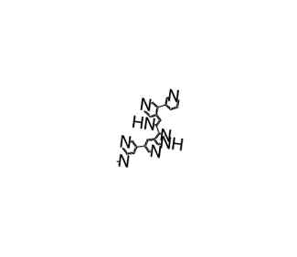 CN(C)c1cncc(-c2cnc3[nH]nc(-c4cc5c(-c6cccnc6)cncc5[nH]4)c3c2)c1